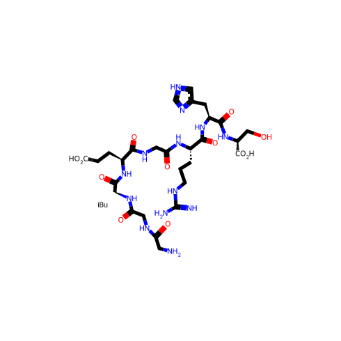 CC[C@H](C)[C@H](NC(=O)CNC(=O)CN)C(=O)N[C@@H](CCC(=O)O)C(=O)NCC(=O)N[C@@H](CCCNC(=N)N)C(=O)N[C@@H](Cc1c[nH]cn1)C(=O)N[C@@H](CO)C(=O)O